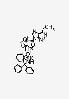 CCc1ncnc2c1ncn2[C@@H]1O[C@H](COS(=O)(=O)NC(c2ccccc2)(c2ccccc2)c2ccccc2)[C@H]2OCO[C@H]21